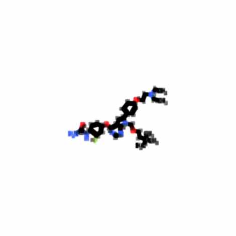 CCN(CC)CCOc1ccc(-c2cc3c(Oc4ccc(NC(N)=O)c(F)c4)ncnc3n2COCC[Si](C)(C)C)cc1